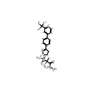 C[C@@](C[C@H]1CC(c2ccc(-c3ccnc(C(F)(F)F)c3)cc2)=NO1)(C(=O)NO)S(C)(=O)=O